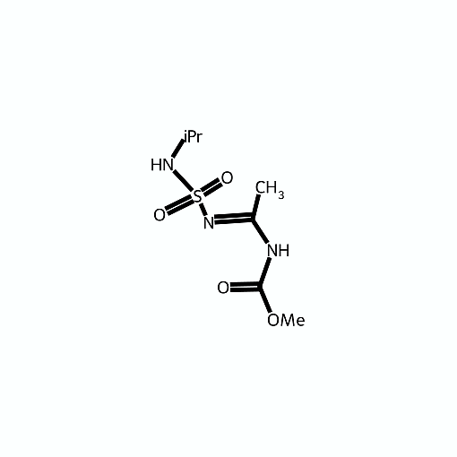 COC(=O)NC(C)=NS(=O)(=O)NC(C)C